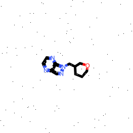 c1cnc2c(cnn2CC2CCCOC2)n1